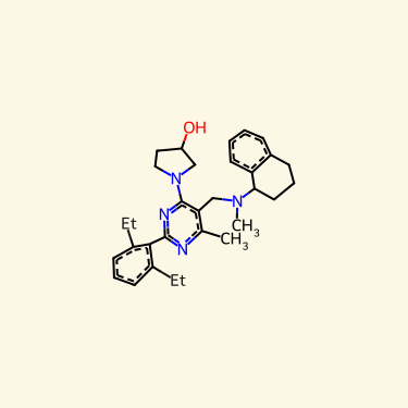 CCc1cccc(CC)c1-c1nc(C)c(CN(C)C2CCCc3ccccc32)c(N2CCC(O)C2)n1